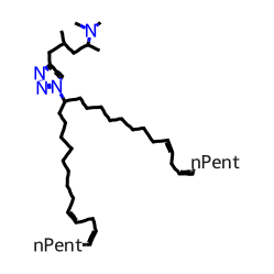 CCCCC/C=C\C/C=C\CCCCCCCCC(CCCCCCCC/C=C\C/C=C\CCCCC)n1cc(CC(C)CC(C)N(C)C)nn1